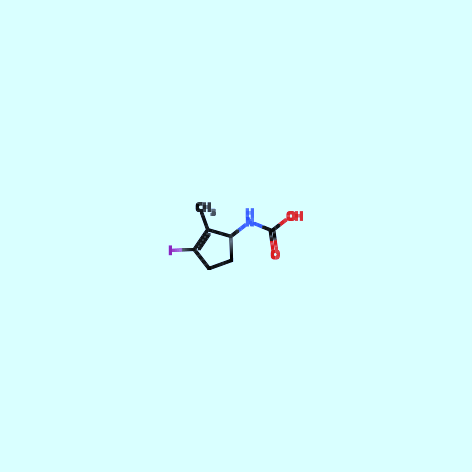 CC1=C(I)CCC1NC(=O)O